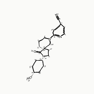 N#Cc1ccnc(N2CCC[C@@]3(CCN([C@H]4CC[C@@H](O)CC4)C3=O)C2)c1